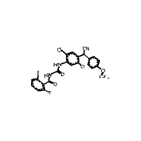 N#CC(c1ccc(OC(F)(F)F)cc1)c1cc(Cl)c(NC(=O)NC(=O)c2c(F)cccc2F)cc1Cl